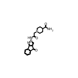 NC(=O)C1CCN(CC(=O)Nn2cc3c(n2)-c2ccccc2C3=O)CC1